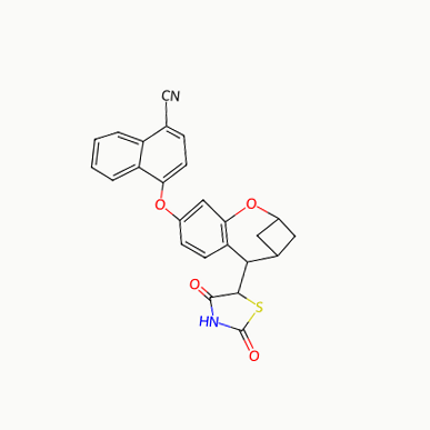 N#Cc1ccc(Oc2ccc3c(c2)OC2CC(C2)C3C2SC(=O)NC2=O)c2ccccc12